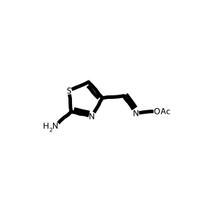 CC(=O)O/N=[C]/c1csc(N)n1